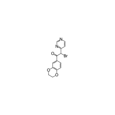 O=C(c1ccc2c(c1)OCCO2)C(Br)c1ccncn1